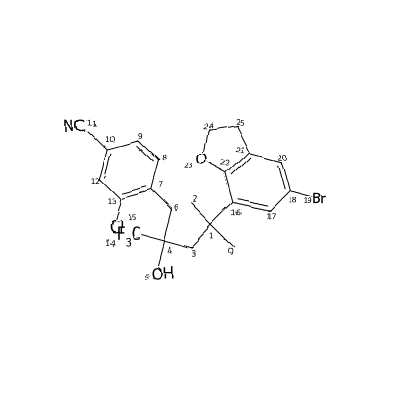 CC(C)(CC(O)(Cc1ccc(C#N)cc1Cl)C(F)(F)F)c1cc(Br)cc2c1OCC2